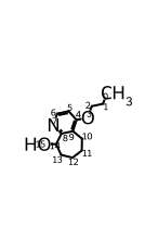 CCCOc1ccnc2c1CCCCC2O